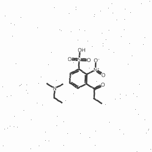 CCC(=O)c1cccc(S(=O)(=O)O)c1[N+](=O)[O-].CCN(C)C